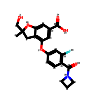 CC1(CO)Cc2c(Oc3ccc(C(=O)N4CCC4)c(F)c3)cc(C(=O)O)cc2O1